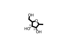 CC1OC(CO)[C@@H](O)[C@@H]1O